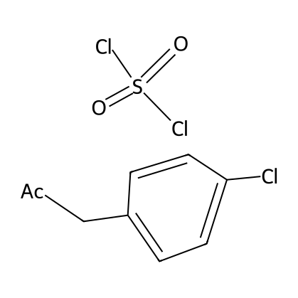 CC(=O)Cc1ccc(Cl)cc1.O=S(=O)(Cl)Cl